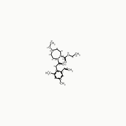 C=Cc1cc(C)cc(C)c1CC(=O)N1CCN(OC)CCN1C(=O)OCC